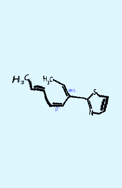 CC=C/C=C\C(=C/C)c1nccs1